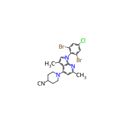 [C-]#[N+]C1CCN(c2cc(C)nc3c2c(C)cn3-c2c(Br)cc(Cl)cc2Br)CC1